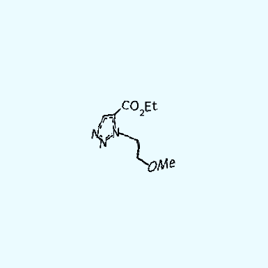 CCOC(=O)c1cnnn1CCOC